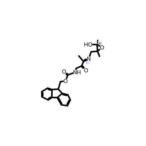 C/C(=N\CC1(C)O[C@@]1(C)O)C(=O)CNC(=O)OCC1c2ccccc2-c2ccccc21